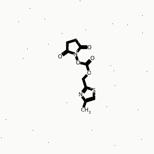 Cc1csc(COC(=O)ON2C(=O)CCC2=O)n1